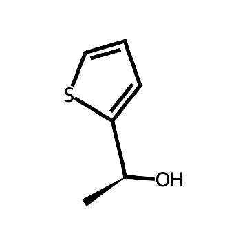 C[C@H](O)c1cccs1